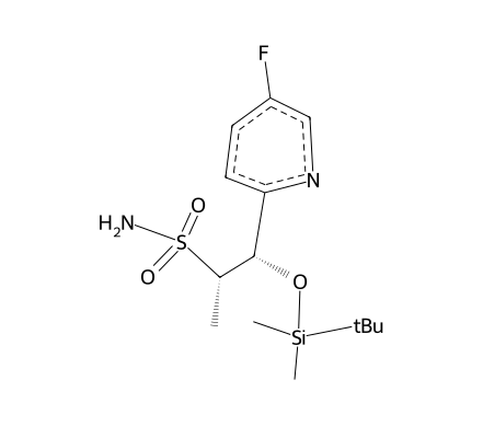 C[C@@H]([C@@H](O[Si](C)(C)C(C)(C)C)c1ccc(F)cn1)S(N)(=O)=O